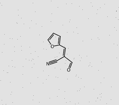 N#C/C(C=O)=C\c1ccco1